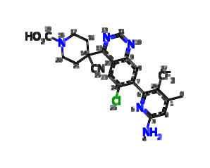 Cc1cc(N)nc(-c2cc3ncnc(C4(C#N)CCN(C(=O)O)CC4)c3cc2Cl)c1C(F)(F)F